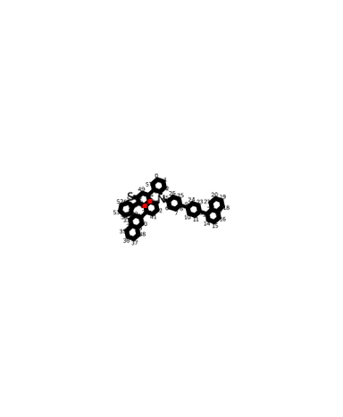 c1ccc(N(c2ccc(-c3ccc(-c4cccc5ccccc45)cc3)cc2)c2ccc(-c3ccc4ccccc4c3)cc2)c(-c2ccc3c(c2)sc2ccccc23)c1